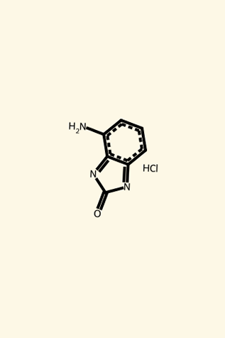 Cl.Nc1cccc2c1=NC(=O)N=2